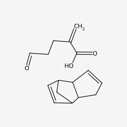 C1=CC2C3C=CC(C3)C2C1.C=C(CCC=O)C(=O)O